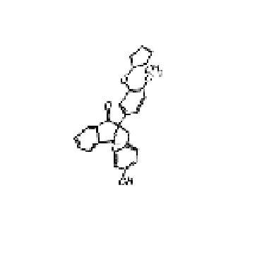 COc1ccc(C2(Cc3ccc(O)cc3)C(=O)c3ccccc3C2=O)cc1OC1CCCC1